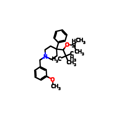 COc1cccc(CN2CCC(c3ccccc3)(C(O[SiH](C)C)C(C)(C)C)CC2)c1